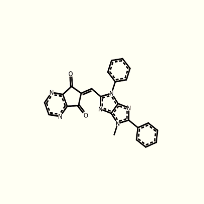 Cn1c(-c2ccccc2)nc2c1nc(C=C1C(=O)c3nccnc3C1=O)n2-c1ccccc1